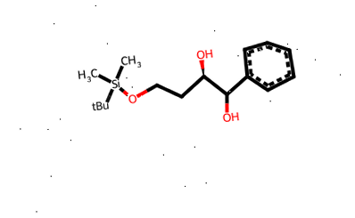 CC(C)(C)[Si](C)(C)OCC[C@@H](O)C(O)c1ccccc1